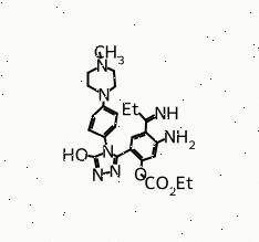 CCOC(=O)Oc1cc(N)c(C(=N)CC)cc1-c1nnc(O)n1-c1ccc(N2CCN(C)CC2)cc1